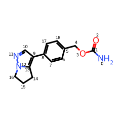 NC(=O)OCc1ccc(-c2cnn3c2CCC3)cc1